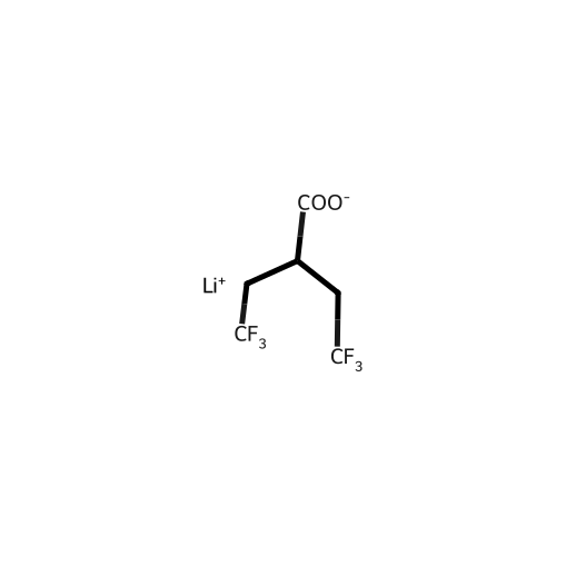 O=C([O-])C(CC(F)(F)F)CC(F)(F)F.[Li+]